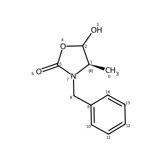 C[C@@H]1C(O)OC(=O)N1Cc1ccccc1